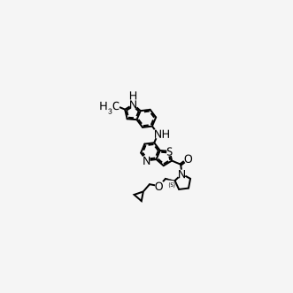 Cc1cc2cc(Nc3ccnc4cc(C(=O)N5CCC[C@H]5COCC5CC5)sc34)ccc2[nH]1